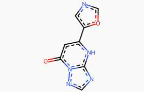 O=c1cc(-c2cnco2)[nH]c2ncnn12